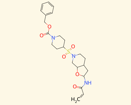 C=CC(=O)NC1CC2CCN(S(=O)(=O)C3CCN(C(=O)OCc4ccccc4)CC3)CC2O1